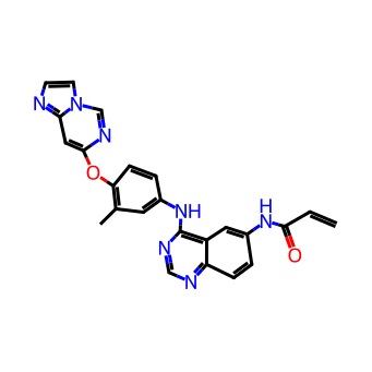 C=CC(=O)Nc1ccc2ncnc(Nc3ccc(Oc4cc5nccn5cn4)c(C)c3)c2c1